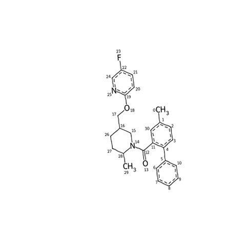 Cc1ccc(-c2ccccc2)c(C(=O)N2CC(COc3ccc(F)cn3)CCC2C)c1